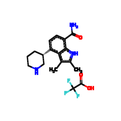 Cc1[nH]c2c(C(N)=O)ccc([C@H]3CCCNC3)c2c1C.O=C(O)C(F)(F)F